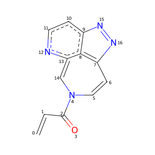 C=CC(=O)N1C=CC2=c3c(ccnc3=C1)N=N2